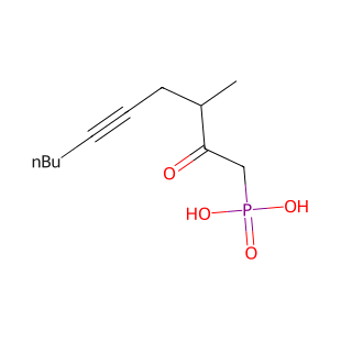 CCCCC#CCC(C)C(=O)CP(=O)(O)O